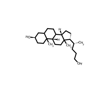 C[C@H](CCCO)[C@H]1CC[C@H]2C3CCC4C[C@H](O)CCC4(C)[C@H]3CCC12C